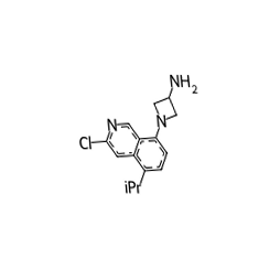 CC(C)c1ccc(N2CC(N)C2)c2cnc(Cl)cc12